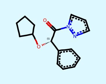 O=C([C@@H](OC1CCCC1)c1ccccc1)n1cccn1